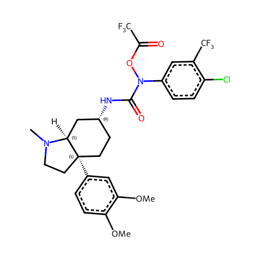 COc1ccc([C@@]23CC[C@@H](NC(=O)N(OC(=O)C(F)(F)F)c4ccc(Cl)c(C(F)(F)F)c4)C[C@@H]2N(C)CC3)cc1OC